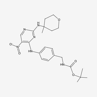 CC1(Nc2ncc([N+](=O)[O-])c(Nc3ccc(CNC(=O)OC(C)(C)C)cc3)n2)CCOCC1